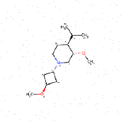 CO[C@@H]1CN([C@H]2C[C@H](OC)C2)CC[C@H]1C(C)C